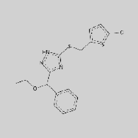 CCOC(c1ccccc1)c1n[nH]c(SCc2ccc(Cl)s2)n1